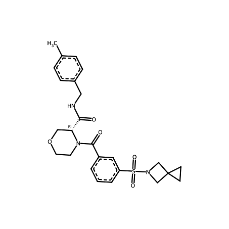 Cc1ccc(CNC(=O)[C@H]2COCCN2C(=O)c2cccc(S(=O)(=O)N3CC4(CC4)C3)c2)cc1